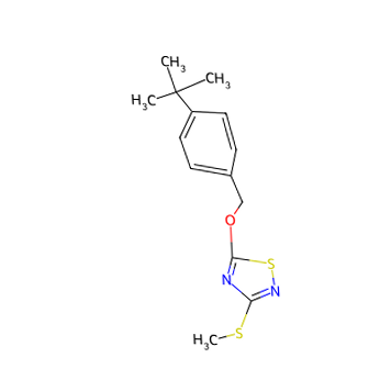 CSc1nsc(OCc2ccc(C(C)(C)C)cc2)n1